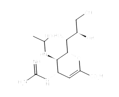 CC(O)N[C@H]1[C@H]([C@H](O)[C@H](O)CO)OC(C(=O)O)=C[C@@H]1NC(=N)N